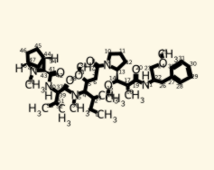 CCC(C)C(C(CC(=O)N1CCC[C@H]1C(OC)C(C)C(=O)NC(COC)Cc1ccccc1)OC)N(C)C(=O)C(NC(=O)[C@@H]1[C@H]2CC[C@H](C2)N1C)C(C)C